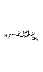 CCOC(=O)Cn1cc(C(C)=O)nn1